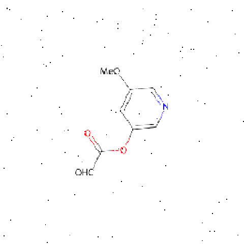 COc1cncc(OC(=O)C=O)c1